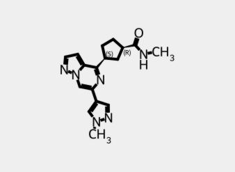 CNC(=O)[C@@H]1CC[C@H](c2nc(-c3cnn(C)c3)cn3nccc23)C1